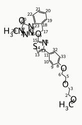 COCCOCCOc1ccc(-c2csc(OCc3ccccc3-n3nnn(C)c3=O)n2)cc1